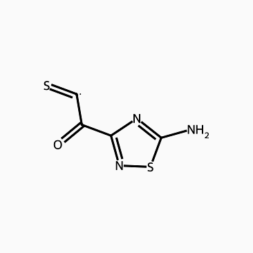 Nc1nc(C(=O)[C]=S)ns1